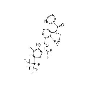 N#CCN(C(=O)c1cccnc1)c1cccc(C(=O)Nc2c(I)cc(C(F)(C(F)(F)F)C(F)(F)F)cc2C(F)(F)F)c1F